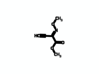 C#C/C(=N\OC)C(=O)OC